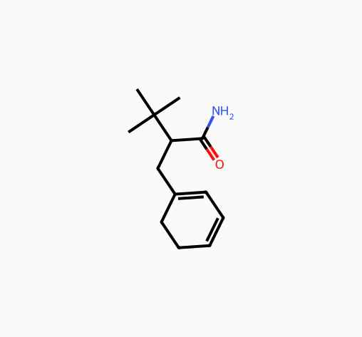 CC(C)(C)C(CC1=CC=CCC1)C(N)=O